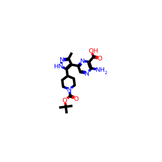 Cc1n[nH]c(C2CCN(C(=O)OC(C)(C)C)CC2)c1-c1cnc(N)c(C(=O)O)n1